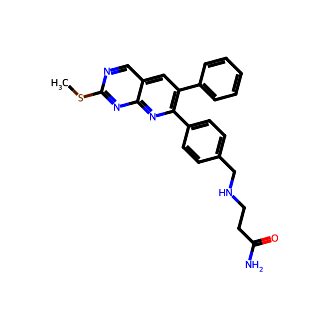 CSc1ncc2cc(-c3ccccc3)c(-c3ccc(CNCCC(N)=O)cc3)nc2n1